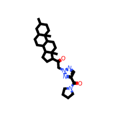 CC1CCC2(C)C(CCC3C2CCC2(C)C(C(=O)Cn4ncc(C(=O)N5CCCC5)n4)CCC32)C1